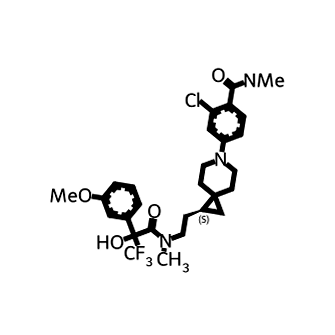 CNC(=O)c1ccc(N2CCC3(CC2)C[C@H]3CCN(C)C(=O)C(O)(c2cccc(OC)c2)C(F)(F)F)cc1Cl